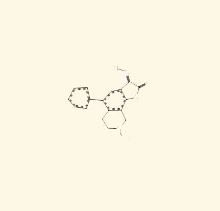 CN1CCc2c(-c3ccccc3)cc3c(c2C1)NC(=O)/C3=N/N